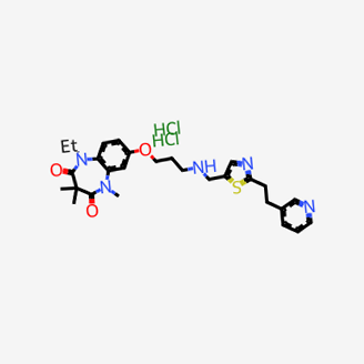 CCN1C(=O)C(C)(C)C(=O)N(C)c2cc(OCCCNCc3cnc(CCc4cccnc4)s3)ccc21.Cl.Cl